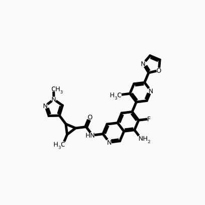 Cc1cc(-c2ncco2)ncc1-c1cc2cc(NC(=O)C3C(C)C3c3cnn(C)c3)ncc2c(N)c1F